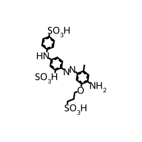 Cc1cc(N)c(OCCCS(=O)(=O)O)cc1N=Nc1ccc(Nc2ccc(S(=O)(=O)O)cc2)cc1S(=O)(=O)O